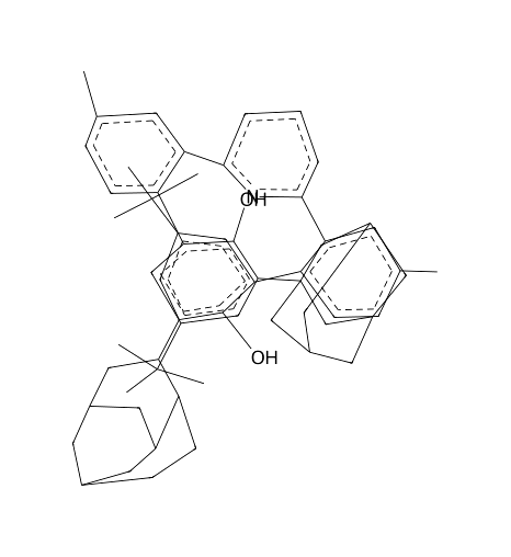 Cc1ccc(-c2cc(C(C)(C)C)cc(C3CC4CC5CCC3C(C5)C4)c2O)c(-c2cccc(-c3cc(C)ccc3-c3cc(C(C)(C)C)cc(C45CC6CC(CC(C6)C4)C5)c3O)n2)c1